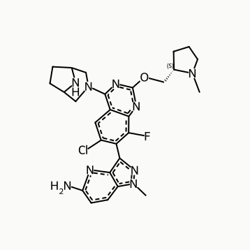 CN1CCC[C@H]1COc1nc(N2CC3CCC(C2)N3)c2cc(Cl)c(-c3nn(C)c4ccc(N)nc34)c(F)c2n1